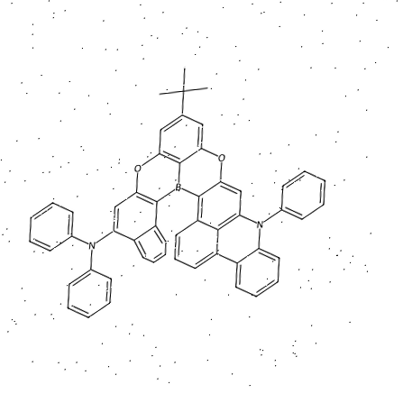 CC(C)(C)c1cc2c3c(c1)Oc1cc4c5c(cccc5c1B3c1c(cc(N(c3ccccc3)c3ccccc3)c3ccccc13)O2)-c1ccccc1N4c1ccccc1